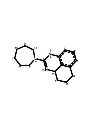 c1cc2c3c(c1)NC(N1CCCCCC1)=NC3CCC2